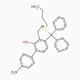 CC(C)Cc1c(C(SCCCC(=O)O)(c2ccccc2)c2ccccc2)ccc(-c2ccc([N+](=O)[O-])cc2)c1O